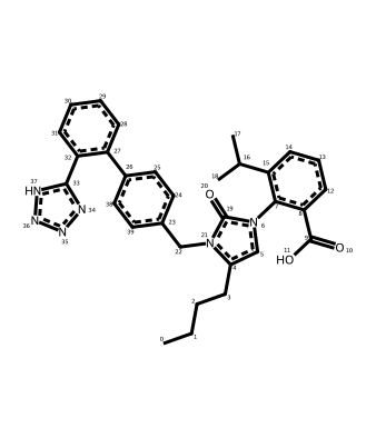 CCCCc1cn(-c2c(C(=O)O)cccc2C(C)C)c(=O)n1Cc1ccc(-c2ccccc2-c2nnn[nH]2)cc1